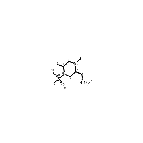 CC1CN(C)C(CC(=O)O)CN1S(C)(=O)=O